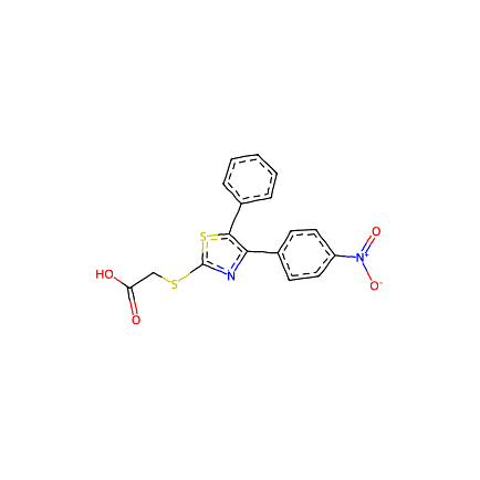 O=C(O)CSc1nc(-c2ccc([N+](=O)[O-])cc2)c(-c2ccccc2)s1